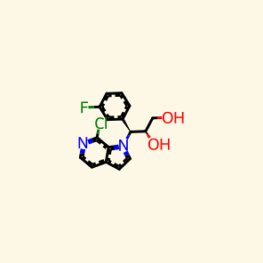 OC[C@@H](O)[C@H](c1cccc(F)c1)n1ccc2ccnc(Cl)c21